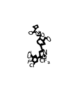 O=C1OC2(CN(C(=O)C3CCC3)C2)c2ccc(C3=NOC(c4cc(Cl)c(F)c(Cl)c4)(C(F)(F)F)C3)cc21